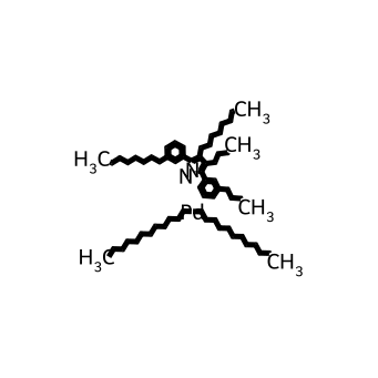 CCCCCCCCC1=C(c2cccc(CCCCCCCC)c2)[N+](=[N-])C(c2cccc(CCCC)c2)=C1CCCC.CCCCCCCCCCC[CH2][Pd][CH2]CCCCCCCCCCC